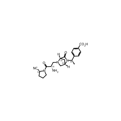 C[C@H](c1ccc(C(=O)O)cc1)N1C(=O)[C@@H]2C[C@H]1CN2C[C@H](N)C(=O)N1CCC[C@H]1C#N